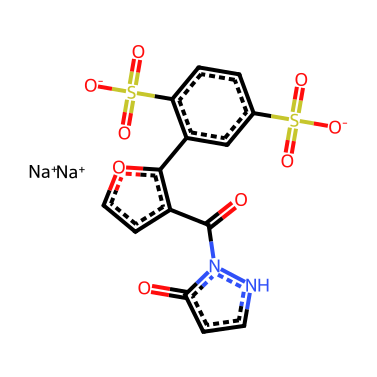 O=C(c1ccoc1-c1cc(S(=O)(=O)[O-])ccc1S(=O)(=O)[O-])n1[nH]ccc1=O.[Na+].[Na+]